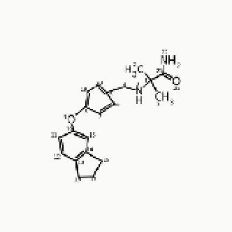 CC(C)(NCc1ccc(Oc2ccc3c(c2)CCC3)cc1)C(N)=O